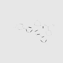 N#CC(NC(=O)[C@@H]1CCCC[C@H]1c1oc(-c2ccc(F)cc2)nc1-c1ccc(N2CCS(O)(O)CC2)cc1)C1CCCCC1